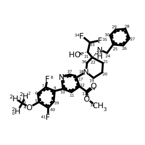 [2H]C([2H])([2H])Oc1cc(F)c(-c2cc(C(=O)OC)c(N3CCC[C@](NCc4ccccc4)([C@H](O)C(F)F)C3)cn2)cc1F